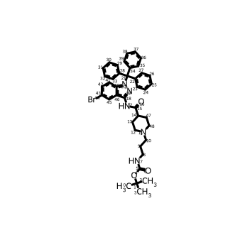 CC(C)(C)OC(=O)NCCCN1CCC(C(=O)Nc2nn(C(c3ccccc3)(c3ccccc3)c3ccccc3)c3ccc(Br)cc23)CC1